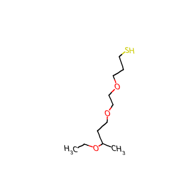 CCOC(C)CCOCCOCCCS